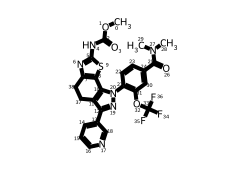 COC(=O)Nc1nc2c(s1)-c1c(c(-c3cccnc3)nn1-c1ccc(C(=O)N(C)C)cc1OC(F)(F)F)CC2